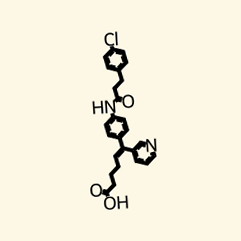 O=C(O)CCCC=C(c1ccc(NC(=O)CCc2ccc(Cl)cc2)cc1)c1cccnc1